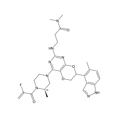 C=C(F)C(=O)N1CCN(c2nc(NCCC(=O)N(C)C)nc3c2OCC(c2c(C)ccc4[nH]ncc24)O3)C[C@H]1C